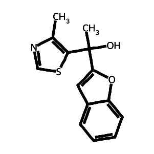 Cc1ncsc1C(C)(O)c1cc2ccccc2o1